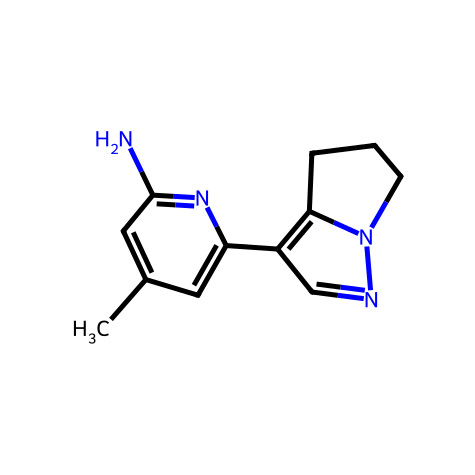 Cc1cc(N)nc(-c2cnn3c2CCC3)c1